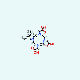 CC(C)(C)CN1CCN(CC(=O)O)CCN(CC(=O)O)CCN(CC(=O)O)CC1